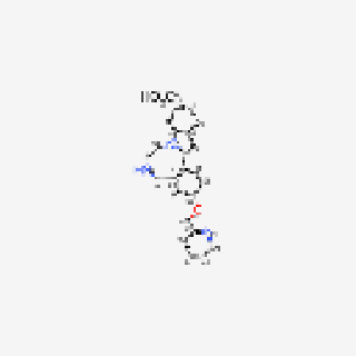 O=C(O)c1ccc2cc3n(c2c1)CCNCc1cc(OCc2ccccn2)ccc1-3